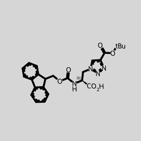 CC(C)(C)OC(=O)c1cn(C[C@H](NC(=O)OCC2c3ccccc3-c3ccccc32)C(=O)O)nn1